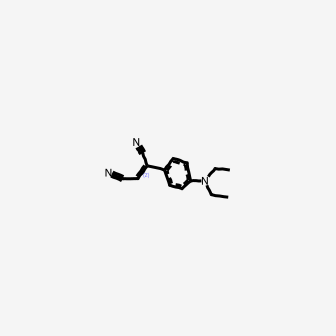 CCN(CC)c1ccc(/C(C#N)=C/C#N)cc1